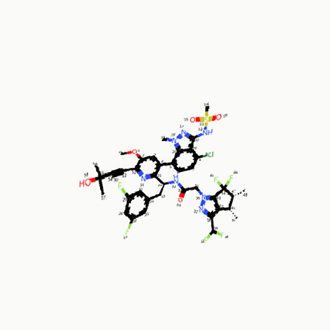 COc1cc(-c2ccc(Cl)c3c(NS(C)(=O)=O)nn(C)c23)c([C@H](Cc2cc(F)cc(F)c2)NC(=O)Cn2nc(C(F)F)c3c2C(F)(F)[C@H](C)[C@@H]3C)nc1C#CC(C)(C)O